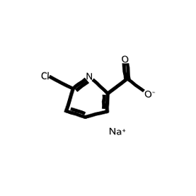 O=C([O-])c1cccc(Cl)n1.[Na+]